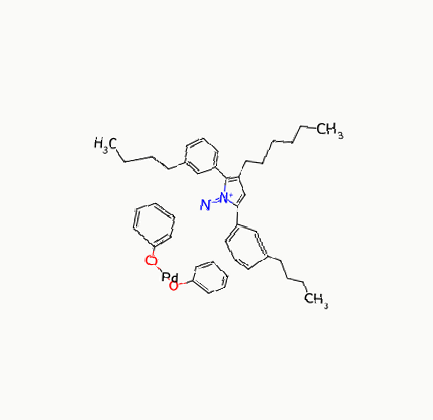 CCCCCCC1=C(c2cccc(CCCC)c2)[N+](=[N-])C(c2cccc(CCCC)c2)=C1.c1ccc([O][Pd][O]c2ccccc2)cc1